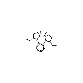 CCC1CC[C@@H](CC)P1c1ccccc1P1[C@H](CC)CC[C@H]1CC